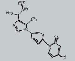 CCNC(O)c1nnn(-c2ccc(-n3ccc(Cl)cc3=O)cc2)c1C(F)(F)F